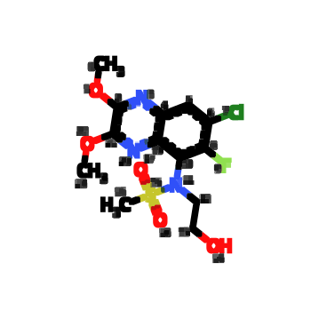 COc1nc2cc(Cl)c(F)c(N(CCO)S(C)(=O)=O)c2nc1OC